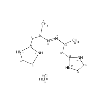 CC(CC1NCCN1)N=NC(C)CC1NCCN1.Cl.Cl